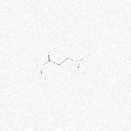 CBC(C)CCN(C)C